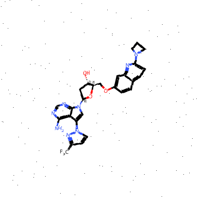 Nc1ncnc2c1c(-n1ccc(C(F)(F)F)n1)cn2[C@H]1C[C@H](O)[C@@H](COc2ccc3ccc(N4CCC4)nc3c2)O1